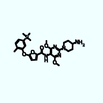 COc1nc(N2CCC(N)CC2)nc(OC)c1NC(=O)c1ccc(Oc2cc([Si](C)(C)C)ccc2C)o1